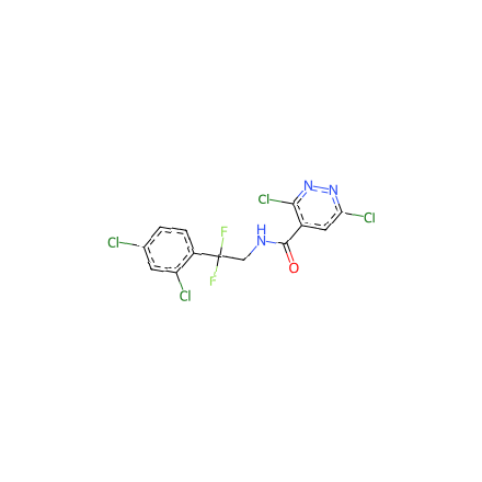 O=C(NCC(F)(F)c1ccc(Cl)cc1Cl)c1cc(Cl)nnc1Cl